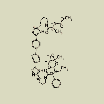 CCN(C(=O)OC(C)(C)C)[C@@H](C(=O)N1CCC[C@H]1c1ncc(-c2ccc(-c3ccc(-c4cnc(C5CCCN5C(=O)[C@H](C)NC(=O)OC)[nH]4)cc3)cc2)[nH]1)c1ccccc1